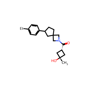 CCc1ccc(C2CCC3(C2)CN(C(=O)[C@H]2C[C@@](C)(O)C2)C3)cc1